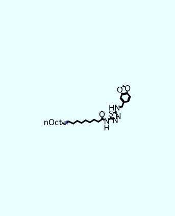 CCCCCCCC/C=C/CCCCCCCC(=O)Nc1nnc(NCc2ccc3c(c2)OCO3)s1